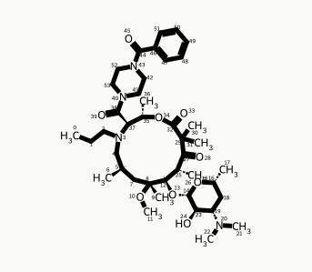 CCCN1C[C@H](C)C[C@@](C)(OC)[C@H](O[C@@H]2O[C@H](C)C[C@H](N(C)C)[C@H]2O)[C@@H](C)C(=O)C(C)(C)C(=O)O[C@@H](C)[C@@H]1C(=O)N1CCN(C(=O)c2ccccc2)CC1